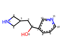 OC(CC1CNC1)c1cccnc1